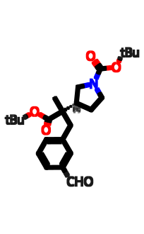 CC(C)(C)OC(=O)N1CC[C@H](C(C)(Cc2cccc(C=O)c2)C(=O)OC(C)(C)C)C1